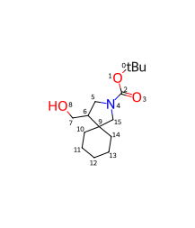 CC(C)(C)OC(=O)N1CC(CO)C2(CCCCC2)C1